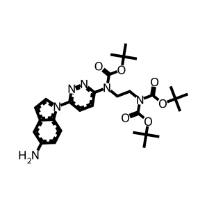 CC(C)(C)OC(=O)N(CCN(C(=O)OC(C)(C)C)c1ccc(-n2ccc3cc(N)ccc32)nn1)C(=O)OC(C)(C)C